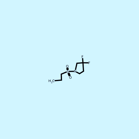 CCCS(=O)(=O)N1CCC(F)(F)C1